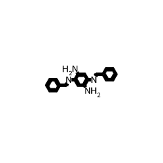 Nc1cc(/N=C/c2ccccc2)c(N)cc1/N=C/c1ccccc1